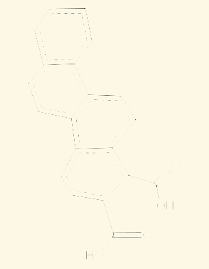 O=C(O)c1ccc2c(ccc3c4ccccc4ccc23)c1C(=O)O